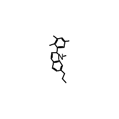 CCCc1ccc2c(c1)N(C)C(c1cc(C)cc(C)c1C)C=C2